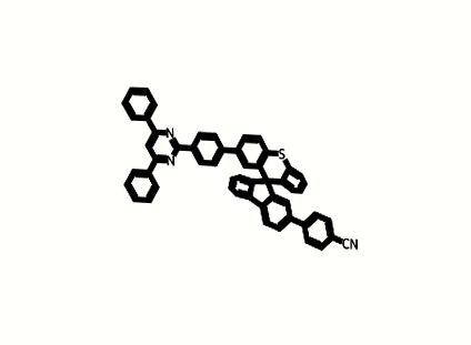 N#Cc1ccc(-c2ccc3c(c2)C2(c4ccccc4Sc4ccc(-c5ccc(-c6nc(-c7ccccc7)cc(-c7ccccc7)n6)cc5)cc42)c2ccccc2-3)cc1